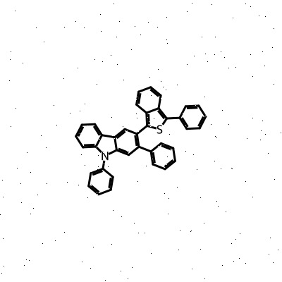 c1ccc(-c2cc3c(cc2-c2sc(-c4ccccc4)c4ccccc24)c2ccccc2n3-c2ccccc2)cc1